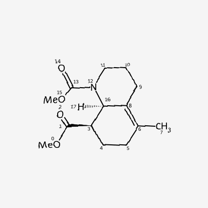 COC(=O)[C@@H]1CCC(C)=C2CCCN(C(=O)OC)[C@@H]21